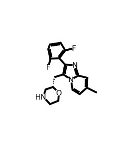 Cc1ccn2c(C[C@H]3CNCCO3)c(-c3c(F)cccc3F)nc2c1